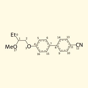 CCC(COc1ccc(-c2ccc(C#N)cc2)cc1)OC